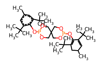 Cc1cc(C(C)(C)C)c(OP2OCC3(COP(OC4=C(C(C)(C)C)CC(C)C=C4C(C)(C)C)OC3)CO2)c(C(C)(C)C)c1